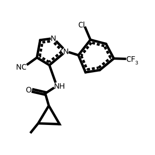 CC1CC1C(=O)Nc1c(C#N)cnn1-c1ccc(C(F)(F)F)cc1Cl